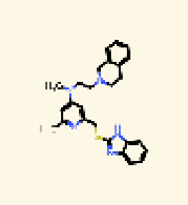 Cc1cc(N(C)CCN2CCc3ccccc3C2)cc(CSc2nc3ccccc3[nH]2)n1